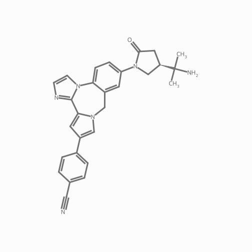 CC(C)(N)[C@@H]1CC(=O)N(c2ccc3c(c2)Cn2cc(-c4ccc(C#N)cc4)cc2-c2nccn2-3)C1